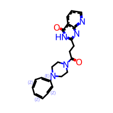 O=C(CCc1nc2ncccc2c(=O)[nH]1)N1CCN(C2=C/C=C\C=C/C=C\2)CC1